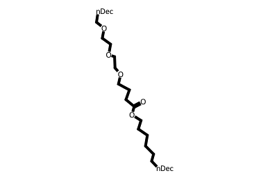 CCCCCCCCCCCCCCCCOC(=O)CCCOCCOCCOCCCCCCCCCCC